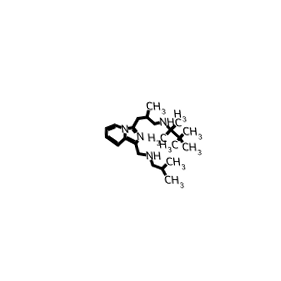 CC(C)CNCc1nc(CC(C)CNC(C)(C)C(C)(C)C)n2ccccc12